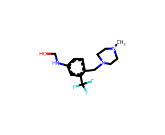 CN1CCN(Cc2ccc(NCO)cc2C(F)(F)F)CC1